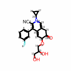 N#CC1=C(c2cccc(F)c2)C2=CC(OCC(O)CO)C(=O)CC2=CN1C1CC1